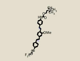 COc1cc(/C=C/c2ccc(SOOC(F)(F)F)cc2)ccc1/C=C/c1ccc(NC(=O)OCC[Si](C)(C)C)cc1